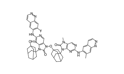 Cc1cc2nnccc2cc1Nc1ncc2c(n1)n(C13CC4CC(CC(On5c(=O)n(C67CC8CC(CC(O)(C8)C6)C7)c6nc(Nc7cc8ccnnc8cc7F)ncc65)(C4)C1)C3)c(=O)n2C